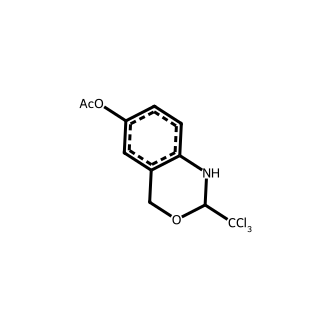 CC(=O)Oc1ccc2c(c1)COC(C(Cl)(Cl)Cl)N2